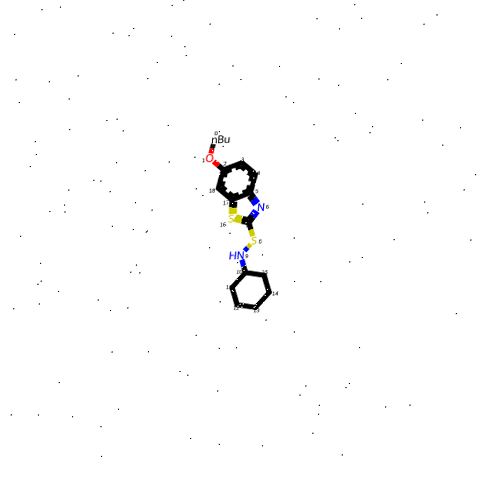 CCCCOc1ccc2nc(SNC3CCCCC3)sc2c1